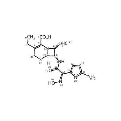 C=CC1=C(C(=O)O)N2C(=O)[C@@H](NC(=O)/C(=N\O)c3csc(N)n3)[C@H]2SC1.Cl